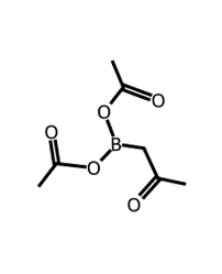 CC(=O)CB(OC(C)=O)OC(C)=O